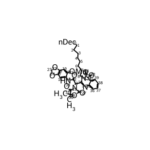 CCCCCCCCCCCCCCCCCCN1C(C(C(=O)Nc2cc3c(cc2OC)OCO3)N2C(=O)OC(C)(C)C2=O)=Nc2ccccc2S1(=O)=O